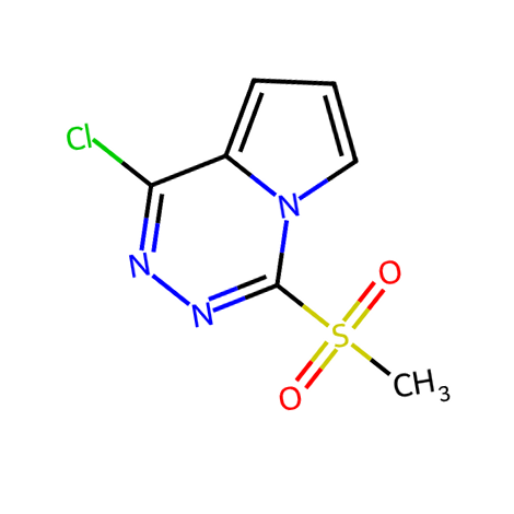 CS(=O)(=O)c1nnc(Cl)c2cccn12